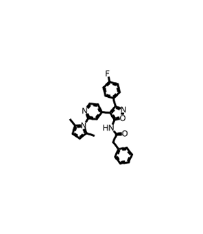 Cc1ccc(C)n1-c1cc(-c2c(-c3ccc(F)cc3)noc2NC(=O)Cc2ccccc2)ccn1